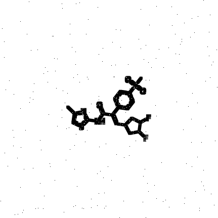 Cc1csc(NC(=O)/C(=C/C2CC(F)C(F)C2)c2ccc(S(C)(=O)=O)cc2)n1